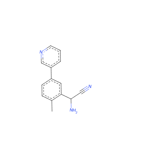 Cc1ccc(-c2cccnc2)cc1C(N)C#N